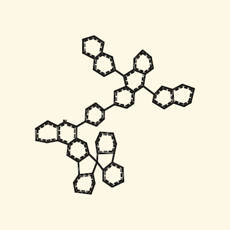 c1ccc2c(c1)-c1ccccc1C21c2ccccc2-c2cc3c(cc21)c(-c1ccc(-c2ccc4c(-c5ccc6ccccc6c5)c5ccccc5c(-c5ccc6ccccc6c5)c4c2)cc1)nc1ccccc13